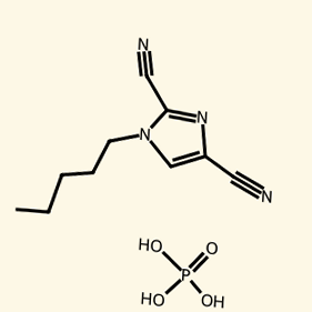 CCCCCn1cc(C#N)nc1C#N.O=P(O)(O)O